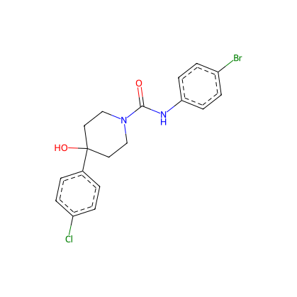 O=C(Nc1ccc(Br)cc1)N1CCC(O)(c2ccc(Cl)cc2)CC1